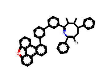 CC/C1=C(c2ccccc2)/N=C(/c2cccc(-c3cccc(-c4cccc5c6cccc7oc8cccc(c45)c8c76)c3)c2)C(C)C(C)C(c2ccccc2)C1